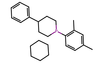 C1CCCCC1.Cc1ccc(P2CCC(c3ccccc3)CC2)c(C)c1